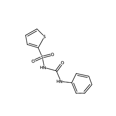 O=C(Nc1ccccc1)NS(=O)(=O)c1cccs1